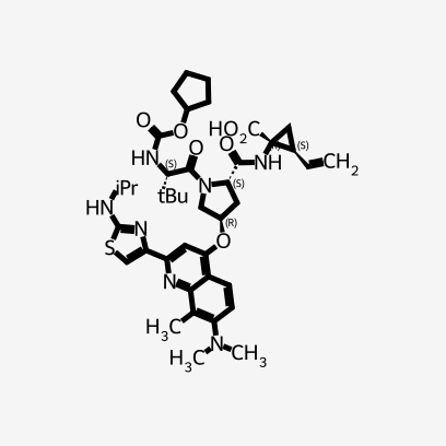 C=C[C@@H]1C[C@]1(NC(=O)[C@@H]1C[C@@H](Oc2cc(-c3csc(NC(C)C)n3)nc3c(C)c(N(C)C)ccc23)CN1C(=O)[C@@H](NC(=O)OC1CCCC1)C(C)(C)C)C(=O)O